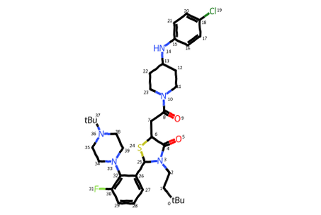 CC(C)(C)CCN1C(=O)C(CC(=O)N2CCC(Nc3ccc(Cl)cc3)CC2)SC1c1cccc(F)c1N1CCN(C(C)(C)C)CC1